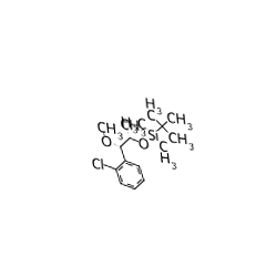 CO[C@@H](c1ccccc1Cl)[C@H](C)O[Si](C)(C)C(C)(C)C